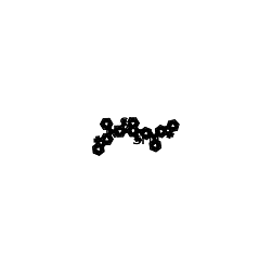 CC1(C)c2ccccc2-c2ccc(N(c3ccccc3)c3ccc4c(c3)[Si](C)(C)c3cc5c6c(cccc6c3-4)[Si](C)(C)c3cc(N(c4ccccc4)c4ccc6c(c4)C(C)(C)c4ccccc4-6)ccc3-5)cc21